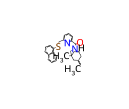 C/C=C1/C[C@@H]2C[C@](C)(C1)CN2C(=O)c1cccc(CSc2cccc3ccccc23)n1